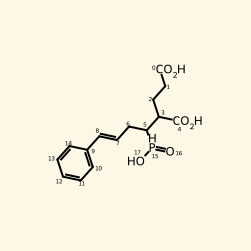 O=C(O)CCC(C(=O)O)C(CC=Cc1ccccc1)[PH](=O)O